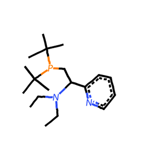 CCN(CC)C(CP(C(C)(C)C)C(C)(C)C)c1ccccn1